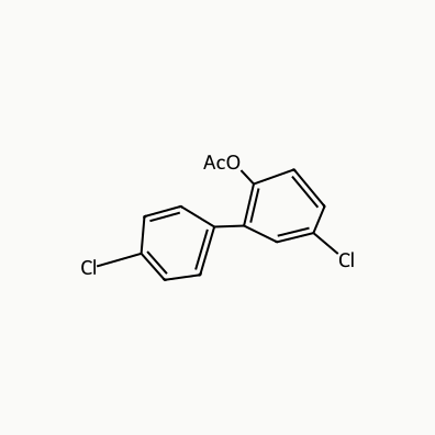 CC(=O)Oc1ccc(Cl)cc1-c1ccc(Cl)cc1